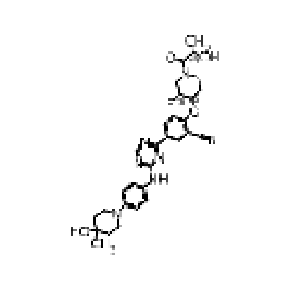 C[C@H](O)C(=O)N1CC[C@H](Oc2ccc(-c3ncnc(Nc4ccc(N5CCC(C)(O)CC5)cc4)n3)cc2C#N)[C@@H](F)C1